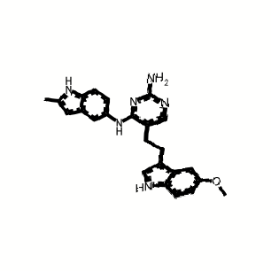 COc1ccc2[nH]cc(CCc3cnc(N)nc3Nc3ccc4[nH]c(C)cc4c3)c2c1